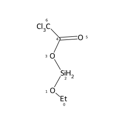 CCO[SiH2]OC(=O)C(Cl)(Cl)Cl